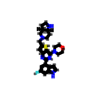 Fc1cc(-c2nc(N3CCOCC3)c3sc(CN4CC[C@H]5NCC[C@H]5C4)cc3n2)c2cc[nH]c2c1